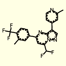 Cc1cc(-c2cnn3c(C(F)F)cc(-c4ccc(C(F)(F)F)c(C)c4)nc23)ccn1